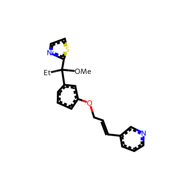 CCC(OC)(c1cccc(OCC=Cc2cccnc2)c1)c1nccs1